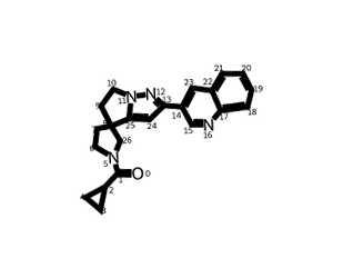 O=C(C1CC1)N1CCC2(CCn3nc(-c4cnc5ccccc5c4)cc32)C1